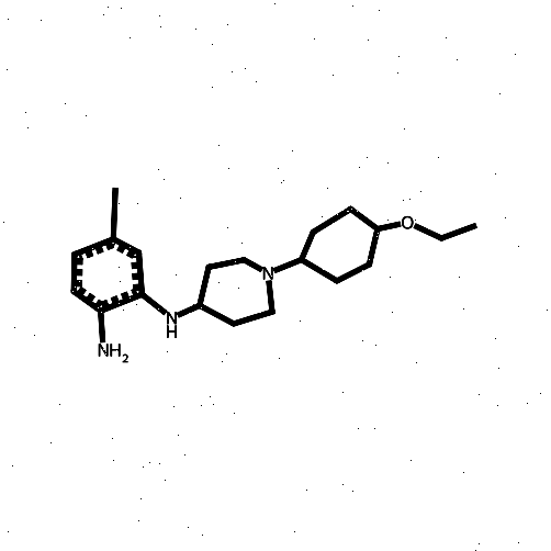 CCOC1CCC(N2CCC(Nc3cc(C)ccc3N)CC2)CC1